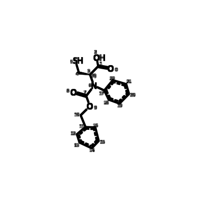 O=C(O)[C@H](CS)N(C(=O)OCc1ccccc1)c1ccccc1